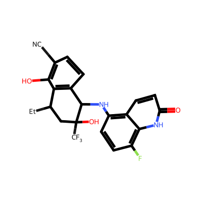 CCC1CC(O)(C(F)(F)F)C(Nc2ccc(F)c3[nH]c(=O)ccc23)c2ccc(C#N)c(O)c21